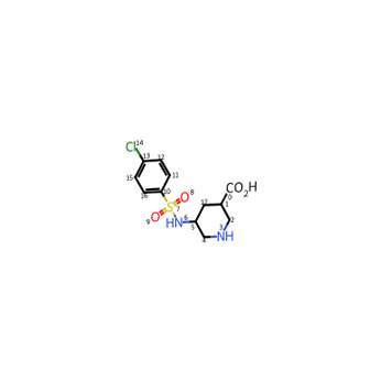 O=C(O)C1CNCC(NS(=O)(=O)c2ccc(Cl)cc2)C1